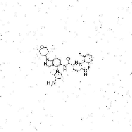 C[C@H]1CN(c2c(NC(=O)C3=NN(c4c(F)cccc4F)C(O)C=C3)ccc3c2cnn3C2CCOCC2)C[C@@H]1N